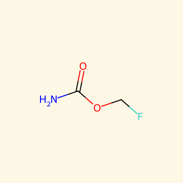 NC(=O)OCF